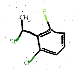 CC(Cl)c1c(F)cccc1Cl